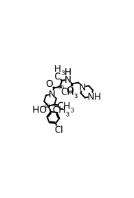 CC(NC(=O)CN1CCNCC1)[C@@H](C)C(=O)N1CC[C@](O)(c2ccc(Cl)cc2)C(C)(C)C1